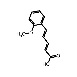 COc1ccccc1C=CC=CC(=O)O